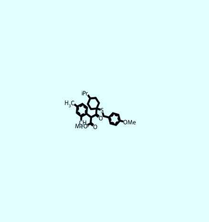 COC(=O)C(C(=O)C1(SCc2ccc(OC)cc2)CCC(C(C)C)CC1)c1ccc(C)cc1C